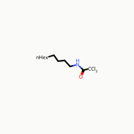 CCCCCCCCCCNC(=O)C(Cl)(Cl)Cl